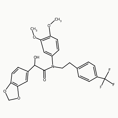 COc1ccc(N(CCc2ccc(C(F)(F)F)cc2)C(=O)C(O)c2ccc3c(c2)OCO3)cc1OC